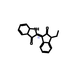 CCC1C(=O)/C(=C2\NC3C=CC=CC3C2=O)c2ccccc21